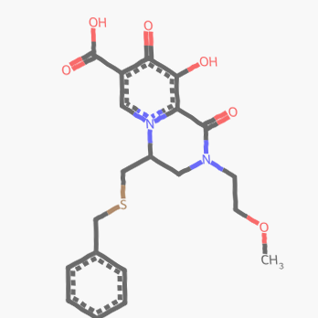 COCCN1CC(CSCc2ccccc2)n2cc(C(=O)O)c(=O)c(O)c2C1=O